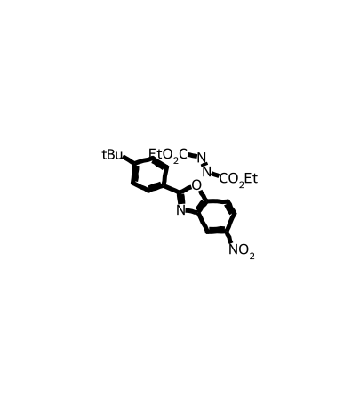 CC(C)(C)c1ccc(-c2nc3cc([N+](=O)[O-])ccc3o2)cc1.CCOC(=O)N=NC(=O)OCC